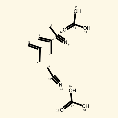 C=CC.C=CC.CC#N.CC#N.O=C(O)O.O=C(O)O